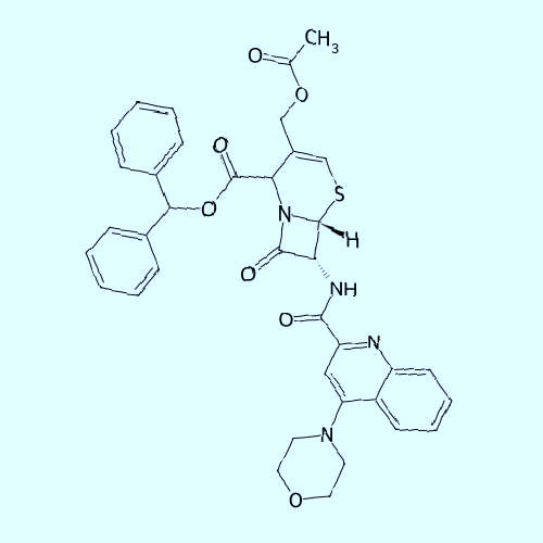 CC(=O)OCC1=CS[C@@H]2[C@H](NC(=O)c3cc(N4CCOCC4)c4ccccc4n3)C(=O)N2C1C(=O)OC(c1ccccc1)c1ccccc1